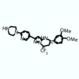 COc1ccc([C@H]2C[C@@H](C(F)(F)F)n3nc(-c4ccc(N5CCNCC5)nc4)cc3N2)cc1OC